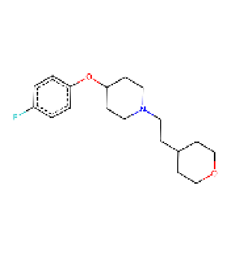 Fc1ccc(OC2CCN(CCC3CCOCC3)CC2)cc1